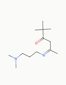 CC(CC(=O)C(C)(C)C)=NCCCN(C)C